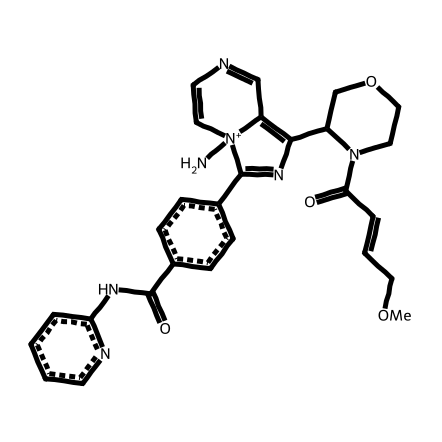 COC/C=C/C(=O)N1CCOCC1C1=C2C=NC=C[N+]2(N)C(c2ccc(C(=O)Nc3ccccn3)cc2)=N1